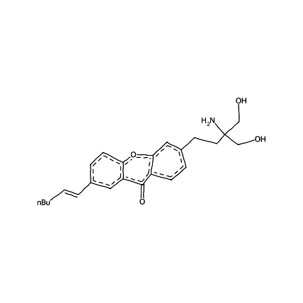 CCCCC=Cc1ccc2oc3cc(CCC(N)(CO)CO)ccc3c(=O)c2c1